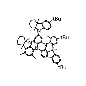 Cc1cc(C)c2c3c1B1c4ccc5c(c4N(c4c(C)cc(C(C)(C)C)cc4C)c4cc(N6c7ccc(C(C)(C)C)cc7C7(C)CCCCC67C)cc(c41)N3C1(C)CCCCC21C)C(C)(C)c1ccc(C(C)(C)C)cc1-5